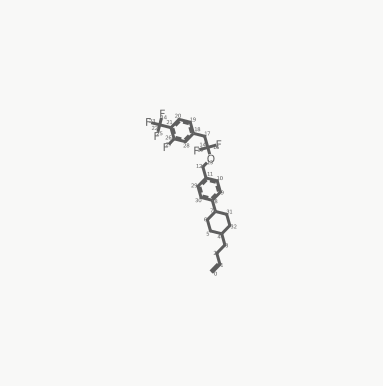 C=CCCC1CCC(c2ccc(COC(F)(F)Cc3ccc(C(F)(F)F)c(F)c3)cc2)CC1